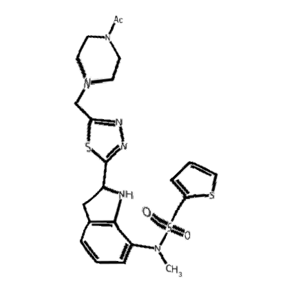 CC(=O)N1CCN(Cc2nnc(C3Cc4cccc(N(C)S(=O)(=O)c5cccs5)c4N3)s2)CC1